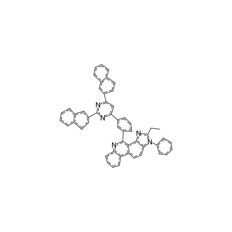 CCc1nc2c3c(-c4cccc(-c5cc(-c6ccc7ccccc7c6)nc(-c6ccc7ccccc7c6)n5)c4)nc4ccccc4c3ccc2n1-c1ccccc1